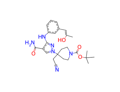 C/C(O)=C/c1cccc(Nc2nn(C3(CC#N)CCN(C(=O)OC(C)(C)C)CC3)cc2C(N)=O)c1